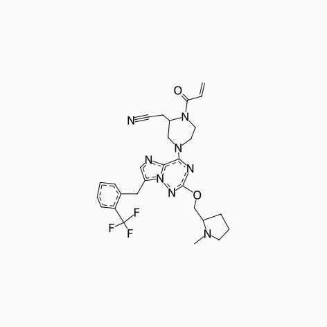 C=CC(=O)N1CCN(c2nc(OCC3CCCN3C)nn3c(Cc4ccccc4C(F)(F)F)cnc23)CC1CC#N